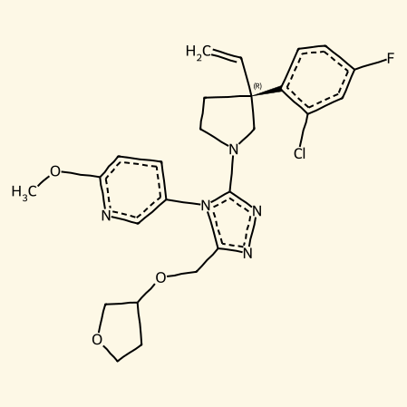 C=C[C@@]1(c2ccc(F)cc2Cl)CCN(c2nnc(COC3CCOC3)n2-c2ccc(OC)nc2)C1